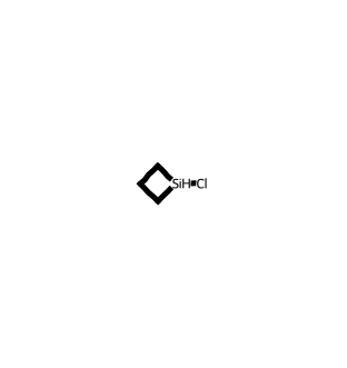 Cl[SiH]1CCC1